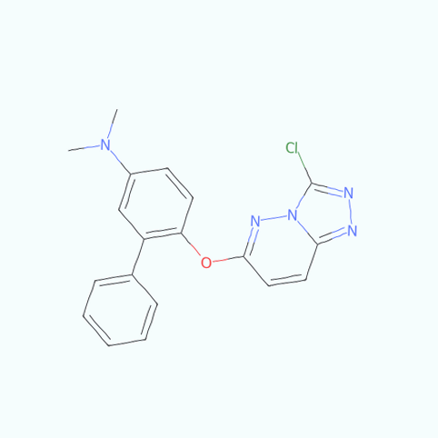 CN(C)c1ccc(Oc2ccc3nnc(Cl)n3n2)c(-c2ccccc2)c1